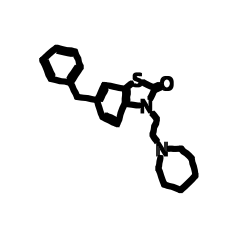 O=c1sc2cc(Cc3ccccc3)ccc2n1CCN1CCCCCC1